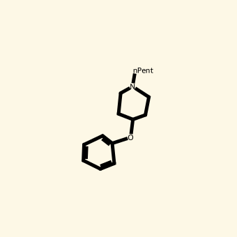 CCCCCN1CCC(Oc2ccccc2)CC1